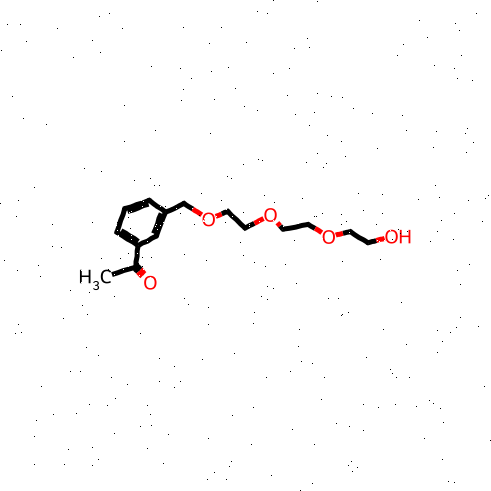 CC(=O)c1cccc(COCCOCCOCCO)c1